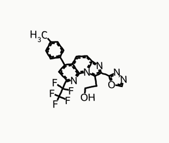 Cc1ccc(-c2cc(C(F)(F)C(F)(F)F)nc3c2ccc2nc(-c4nnco4)c(CCO)n23)cc1